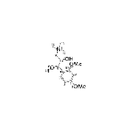 COc1ccc(C(=O)C(O)C[N+](C)(C)C)c(OC)c1.[I-]